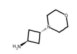 N[C@H]1C[C@H](N2CCOCC2)C1